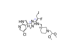 COC(CN1CCC[C@@H](CNC(/N=C(\N)c2c[nH]c3ncc(Cl)cc23)=C(\F)CI)C1)OC